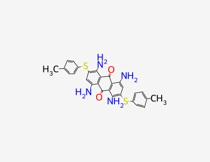 Cc1ccc(Sc2cc(N)c3c(c2N)C(=O)c2c(N)cc(Sc4ccc(C)cc4)c(N)c2C3=O)cc1